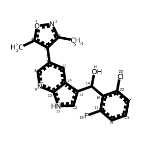 Cc1noc(C)c1-c1cnc2[nH]cc(C(O)c3c(F)cccc3Cl)c2c1